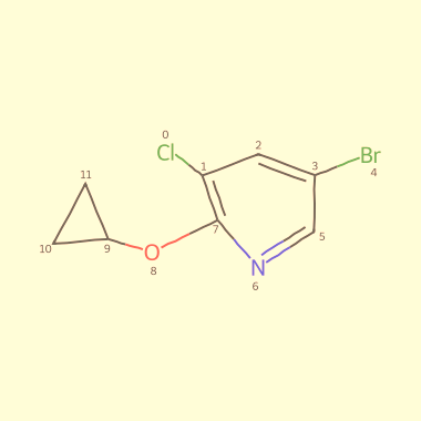 Clc1cc(Br)cnc1OC1CC1